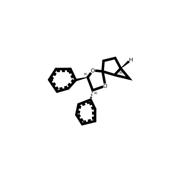 c1ccc([C@H]2OC3(CC[C@@H]4CC43)O[C@@H]2c2ccccc2)cc1